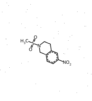 CS(=O)(=O)N1CCc2cc([N+](=O)[O-])ccc2C1